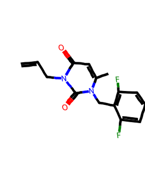 C=CCn1c(=O)cc(C)n(Cc2c(F)cccc2F)c1=O